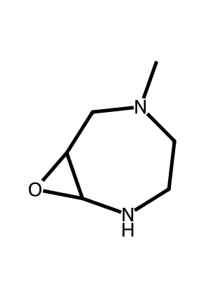 CN1CCNC2OC2C1